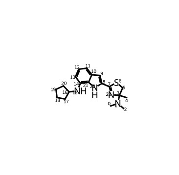 CN(C)C1(C)CSC(c2cc3cccc(NC4CCCC4)c3[nH]2)=N1